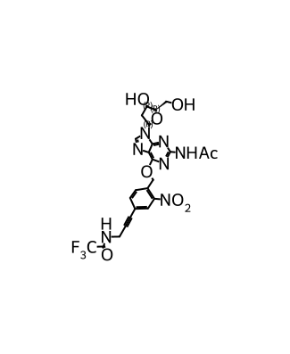 CC(=O)Nc1nc(OCc2ccc(C#CCNC(=O)C(F)(F)F)cc2[N+](=O)[O-])c2ncn([C@H]3C[C@@H](O)[C@@H](CO)O3)c2n1